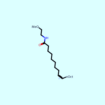 CCCCCCCC/C=C\CCCCCCCC(=O)NCCOC